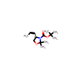 C/C=C\[C@@H]1COC(C)(C)N1C(=O)OC(C)(C)C